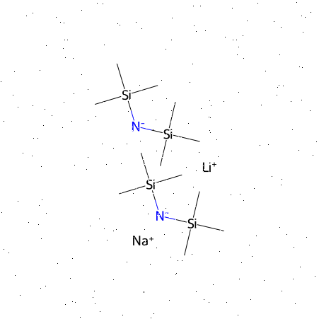 C[Si](C)(C)[N-][Si](C)(C)C.C[Si](C)(C)[N-][Si](C)(C)C.[Li+].[Na+]